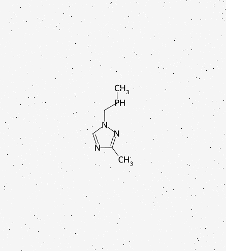 CPCn1cnc(C)n1